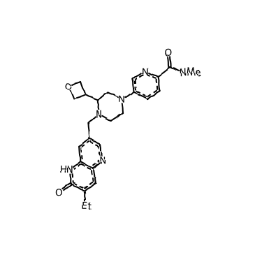 CCc1cc2ncc(CN3CCN(c4ccc(C(=O)NC)nc4)CC3C3COC3)cc2[nH]c1=O